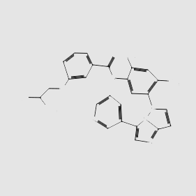 Cc1cc(C)c(-n2ccc3ncc(-c4cccnc4)n32)cc1NC(=O)c1cccc(OCC(C)C)c1